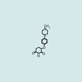 CN1CCN(c2ccc(OC3CCC(=O)NC3=O)cc2)CC1